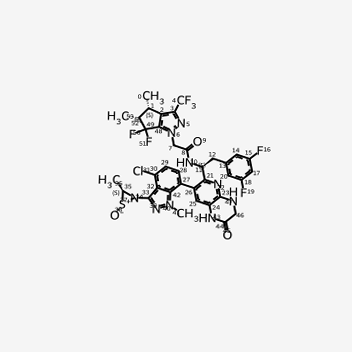 C[C@@H]1c2c(C(F)(F)F)nn(CC(=O)N[C@@H](Cc3cc(F)cc(F)c3)c3nc4c(cc3-c3ccc(Cl)c5c(N6[C@H](C)[S+]6[O-])nn(C)c35)NC(=O)CN4)c2C(F)(F)[C@@H]1C